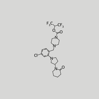 O=C(OC(C(F)(F)F)C(F)(F)F)N1CCN(Cc2ccc(Cl)cc2N2CCC(N3CCCCC3=O)C2)CC1